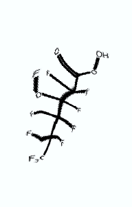 O=C(OO)C(F)(F)C(F)(OF)C(F)(F)C(F)(F)C(F)(F)F